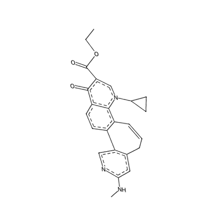 CCOC(=O)c1cn(C2CC2)c2c3c(ccc2c1=O)-c1cnc(NC)cc1CC=C3